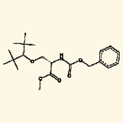 COC(=O)[C@H](COC(C(C)(C)C)C(C)(C)C)NC(=O)OCc1ccccc1